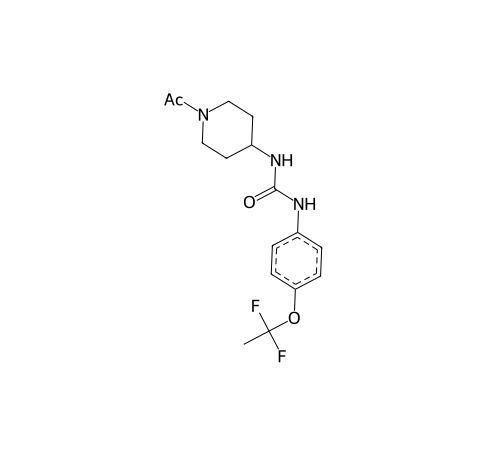 CC(=O)N1CCC(NC(=O)Nc2ccc(OC(C)(F)F)cc2)CC1